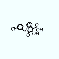 O=C(O)c1c(O)c(=O)n(Cc2cccc(Cl)c2)c2ccsc12